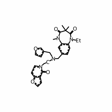 CCN1C(=O)C(C)(C)C(=O)N(C)c2cc(CN(CCn3ccc4occc4c3=O)Cc3ccoc3)ccc21